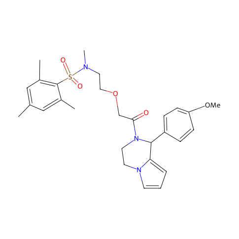 COc1ccc(C2c3cccn3CCN2C(=O)COCCN(C)S(=O)(=O)c2c(C)cc(C)cc2C)cc1